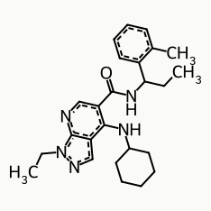 CCC(NC(=O)c1cnc2c(cnn2CC)c1NC1CCCCC1)c1ccccc1C